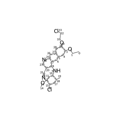 CCOc1cc2cc3c(Nc4cc(OC)c(Cl)cc4C)c(C#N)cnc3cc2cc1OCCCl